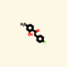 Cc1ccc(C(=O)Cc2ccc(F)cc2)c(O)c1